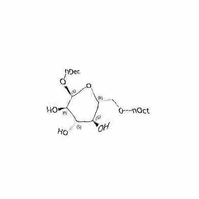 CCCCCCCCCCO[C@H]1O[C@H](COCCCCCCCC)[C@@H](O)[C@H](O)[C@H]1O